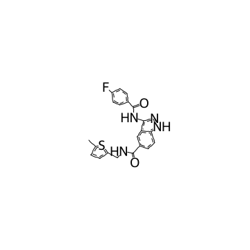 Cc1ccc(CNC(=O)c2ccc3[nH]nc(NC(=O)c4ccc(F)cc4)c3c2)s1